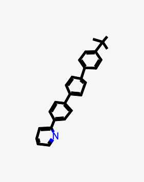 CC(C)(C)c1ccc(-c2ccc(-c3ccc(-c4ccccn4)cc3)cc2)cc1